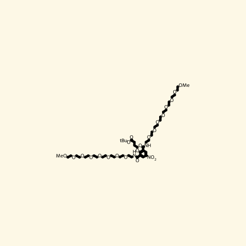 COCCOCCOCCOCCOCCOCCOCCOCCNC(=O)c1cc([N+](=O)[O-])cc(C(=O)NCCOCCOCCOCCOCCOCCOCCOCCOC)c1OCCCC(=O)OC(C)(C)C